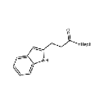 CCCCCCCC(=O)CCc1cc2ccccc2[nH]1